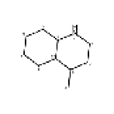 CC1CCNC2CCCCC12